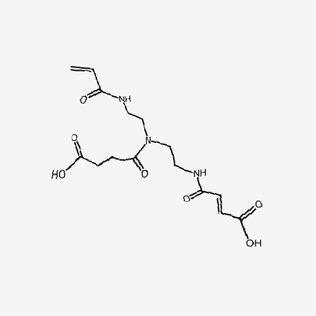 C=CC(=O)NCCN(CCNC(=O)/C=C/C(=O)O)C(=O)CCC(=O)O